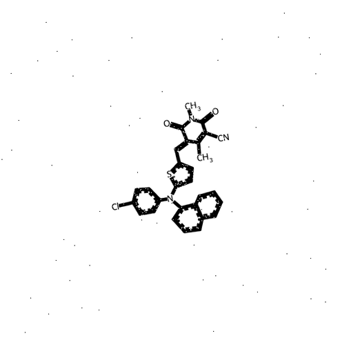 CC1=C(C#N)C(=O)N(C)C(=O)/C1=C/c1ccc(N(c2ccc(Cl)cc2)c2cccc3ccccc23)s1